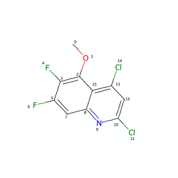 COc1c(F)c(F)cc2nc(Cl)cc(Cl)c12